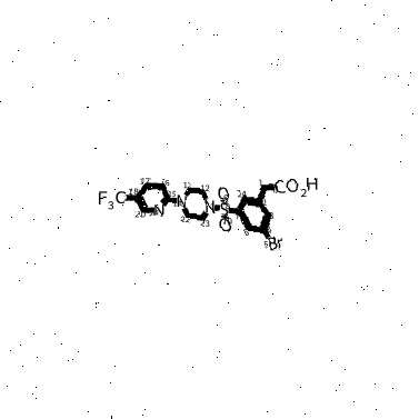 O=C(O)Cc1cc(Br)cc(S(=O)(=O)N2CCN(c3ccc(C(F)(F)F)cn3)CC2)c1